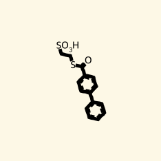 O=C(SCCS(=O)(=O)O)c1ccc(-c2ccccc2)cc1